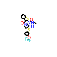 CCNC(=O)Nc1sc2ccccc2c1C(=O)N1CCC(Sc2cccc(OC(F)(F)F)c2)CC1